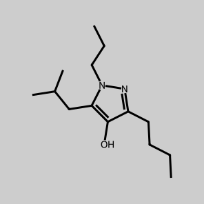 CCCCc1nn(CCC)c(CC(C)C)c1O